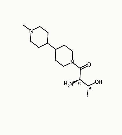 C[C@@H](O)[C@@H](N)C(=O)N1CCC(C2CCN(C)CC2)CC1